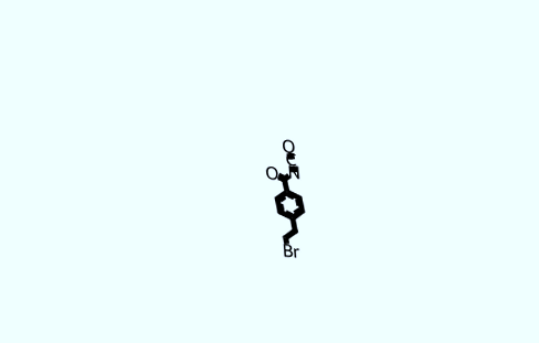 O=C=NC(=O)c1ccc(CCBr)cc1